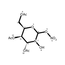 CC(=O)OC[C@H]1OC(O[N+](=O)[O-])N(O)[C@H](OC(C)=O)[C@H]1OC(C)=O